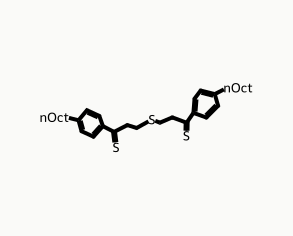 CCCCCCCCc1ccc(C(=S)CCSCCC(=S)c2ccc(CCCCCCCC)cc2)cc1